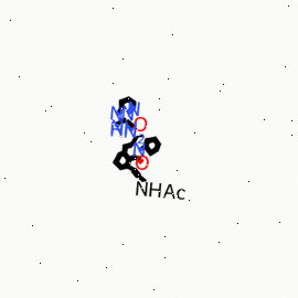 CC(=O)NCC#Cc1cccc2cc([C@H](C)NC(=O)c3c(N)nc4cccnn34)n(-c3ccccc3)c(=O)c12